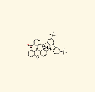 COc1cccc(OC)c1P(c1cccc(-n2c3ccc(C(C)(C)C)cc3c3cc(C(C)(C)C)ccc32)c1O)c1c(OC)cccc1OC